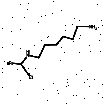 CCCC(CC)NCCCCCCN